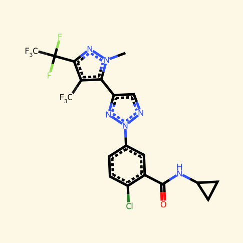 Cn1nc(C(F)(F)C(F)(F)F)c(C(F)(F)F)c1-c1cnn(-c2ccc(Cl)c(C(=O)NC3CC3)c2)n1